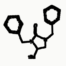 CC(C)(C)C1CN(Cc2ccccc2)C(=O)N1Cc1ccccc1